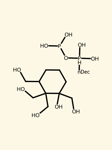 CCCCCCCCCC[PH](O)(O)OP(O)O.OCC1CCCC(O)(CO)C1(CO)CO